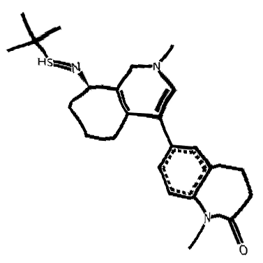 CN1C=C(c2ccc3c(c2)CCC(=O)N3C)C2=C(C1)[C@H](N=[SH]C(C)(C)C)CCC2